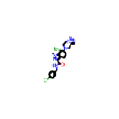 Cn1nc(C(=O)NCc2ccc(Cl)cc2)c2ccc(N3CCn4nncc4C3)c(Br)c21